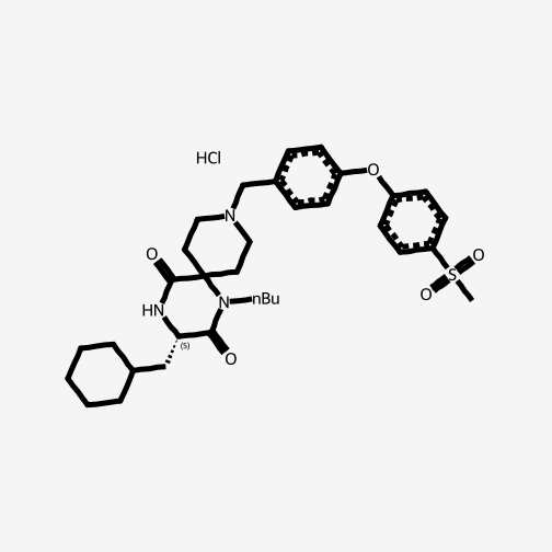 CCCCN1C(=O)[C@H](CC2CCCCC2)NC(=O)C12CCN(Cc1ccc(Oc3ccc(S(C)(=O)=O)cc3)cc1)CC2.Cl